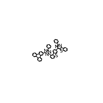 c1ccc(-c2nc(-c3ccc4c5ccccc5c5ccccc5c4c3)nc(-c3cccc4sc5cc(-c6nc(-c7ccccc7)nc7c6sc6ccccc67)ccc5c34)n2)cc1